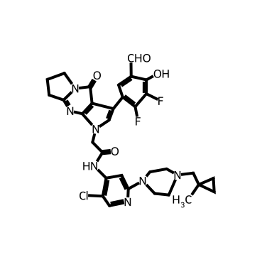 CC1(CN2CCN(c3cc(NC(=O)Cn4cc(-c5cc(C=O)c(O)c(F)c5F)c5c(=O)n6c(nc54)CCC6)c(Cl)cn3)CC2)CC1